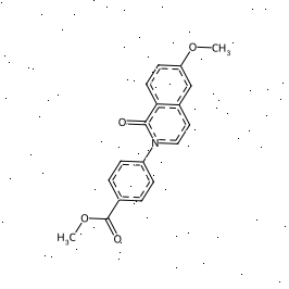 COC(=O)c1ccc(-n2ccc3cc(OC)ccc3c2=O)cc1